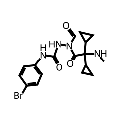 CNC(C(=O)N(C=O)NC(=O)Nc1ccc(Br)cc1)(C1CC1)C1CC1